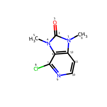 Cn1c(=O)n(C)c2c(Cl)nccc21